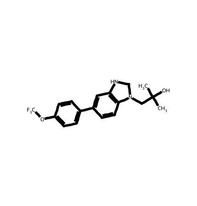 CC(C)(O)CN1CNc2cc(-c3ccc(OC(F)(F)F)cc3)ccc21